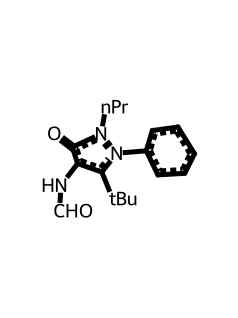 CCCn1c(=O)c(NC=O)c(C(C)(C)C)n1-c1ccccc1